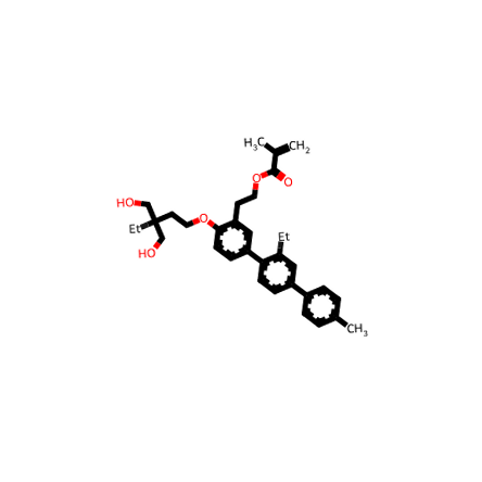 C=C(C)C(=O)OCCc1cc(-c2ccc(-c3ccc(C)cc3)cc2CC)ccc1OCCC(CC)(CO)CO